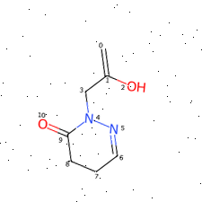 C=C(O)CN1N=CCCC1=O